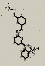 COCC1CCCC(CNC2CCCC(Nc3ccccc3S(=O)(=O)O)=N2)C1